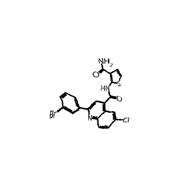 NC(=O)c1ccsc1NC(=O)c1cc(-c2cccc(Br)c2)nc2ccc(Cl)cc12